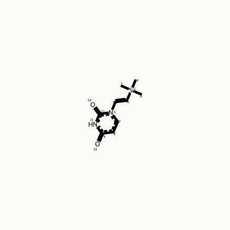 C[Si](C)(C)C=Cn1ccc(=O)[nH]c1=O